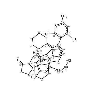 Cc1cc(C)c(N2C=CN(c3c(C)cc(C)cc3C)C2=C2CCCCC2P(=CN2CCCC2=O)(C2CCCCC2)C2CCCCC2)c(C)c1.[Cl][Ru][Cl]